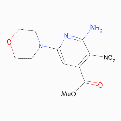 COC(=O)c1cc(N2CCOCC2)nc(N)c1[N+](=O)[O-]